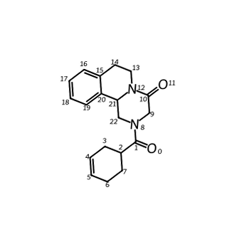 O=C(C1CC=CCC1)N1CC(=O)N2CCc3ccccc3C2C1